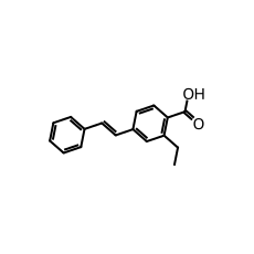 CCc1cc(/C=C/c2ccccc2)ccc1C(=O)O